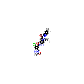 CC(C)C(=O)NCc1ccc(Cl)c(C(=O)Nc2ccc3c(c2)cc(C(=O)NCc2cccc(C(F)(F)F)c2)n3CC(F)(F)F)c1